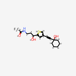 O=C(NCCC(O)c1cc(C#CC2(O)CCCCC2)cs1)C(F)(F)F